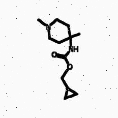 CN1CCC(C)(NC(=O)OCC2CC2)CC1